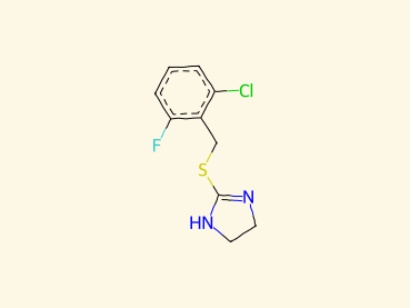 Fc1cccc(Cl)c1CSC1=NCCN1